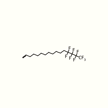 C=CCCCCCCCCCCC(F)(F)C(F)(F)C(F)(F)C(F)(F)F